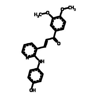 COc1ccc(C(=O)C=Cc2cccnc2Nc2ccc(O)cc2)cc1OC